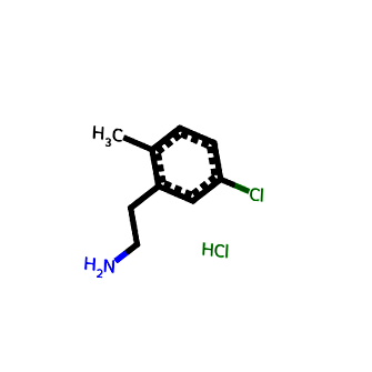 Cc1ccc(Cl)cc1CCN.Cl